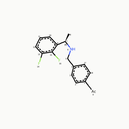 CC(=O)c1ccc(CN[C@H](C)c2cccc(F)c2F)cc1